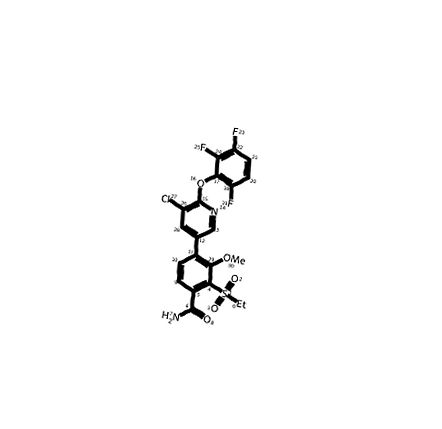 CCS(=O)(=O)c1c(C(N)=O)ccc(-c2cnc(Oc3c(F)ccc(F)c3F)c(Cl)c2)c1OC